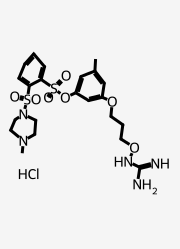 Cc1cc(OCCCONC(=N)N)cc(OS(=O)(=O)c2ccccc2S(=O)(=O)N2CCN(C)CC2)c1.Cl